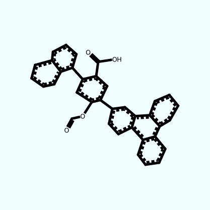 O=COc1cc(-c2cccc3ccccc23)c(C(=O)O)cc1-c1ccc2c3ccccc3c3ccccc3c2c1